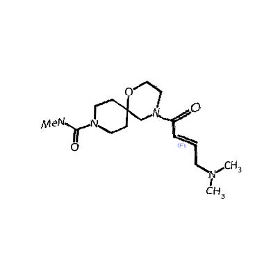 CNC(=O)N1CCC2(CC1)CN(C(=O)/C=C/CN(C)C)CCO2